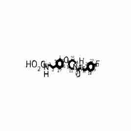 O=C(O)NCCc1ccc(OC2CCN(C(=O)[AsH]Cc3ccc(F)cc3)CC2)cc1